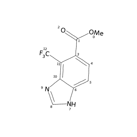 COC(=O)c1ccc2[nH]cnc2c1C(F)(F)F